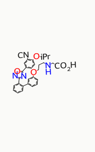 CC(C)Oc1ccc(-c2nc(-c3ccccc3-c3cccc(OCCCNCC(=O)O)c3)no2)cc1C#N